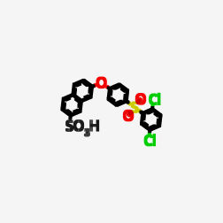 O=S(=O)(O)c1ccc2ccc(Oc3ccc(S(=O)(=O)c4cc(Cl)ccc4Cl)cc3)cc2c1